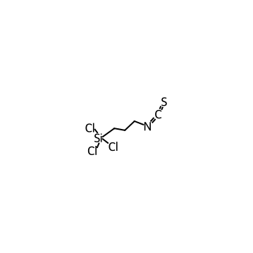 S=C=NCCC[Si](Cl)(Cl)Cl